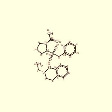 NC[C@H]1CCc2ccccc2O1.O=C(O)[C@@H]1CCCN1S(=O)(=O)Cc1ccccc1